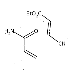 C=CC(N)=O.CCOC(=O)C=CC#N